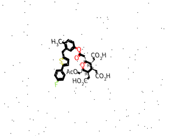 CC(=O)OC[C@@H]1O[C@H](CC(=O)Oc2ccc(C)c(Cc3ccc(-c4ccc(F)cc4)s3)c2)[C@H](CC(=O)O)[C@@H](CC(=O)O)[C@H]1CC(=O)O